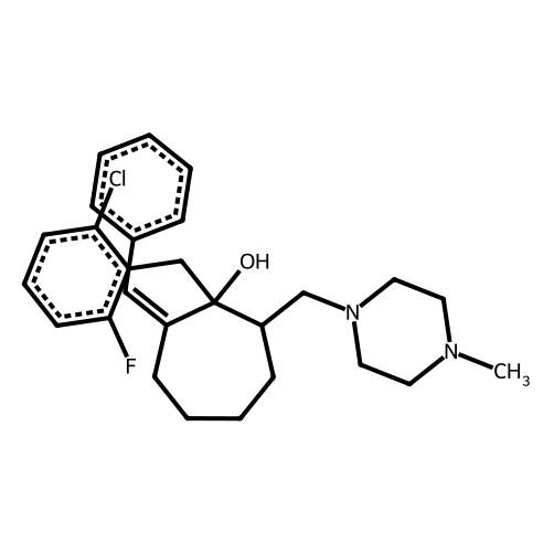 CN1CCN(CC2CCCC/C(=C/c3ccccc3)C2(O)Cc2c(F)cccc2Cl)CC1